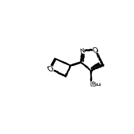 CC(C)(C)c1conc1C1COC1